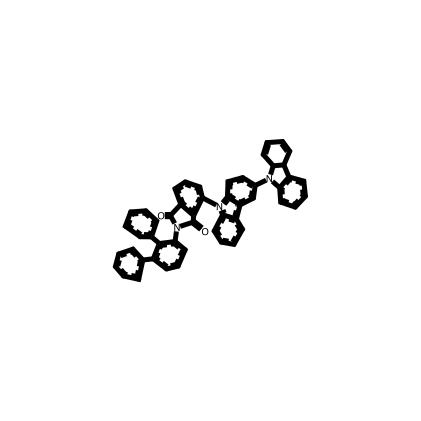 O=C1c2cccc(-n3c4ccccc4c4cc(N5c6ccccc6C6C=CC=CC65)ccc43)c2C(=O)N1c1cccc(-c2ccccc2)c1-c1ccccc1